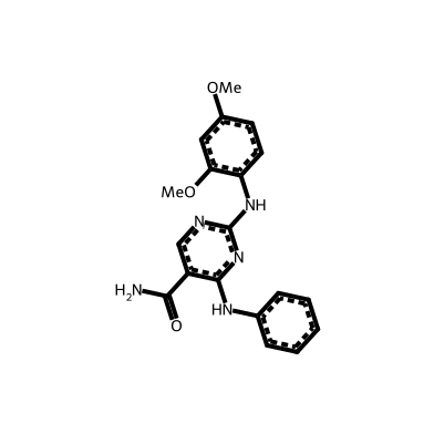 COc1ccc(Nc2ncc(C(N)=O)c(Nc3ccccc3)n2)c(OC)c1